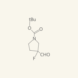 CC(C)(C)OC(=O)N1CCC(F)(C=O)C1